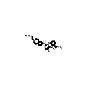 COCCN1CCc2ccc(Nc3ncc(Cl)c(Nc4c(F)cccc4C(N)=O)n3)cc2CC1